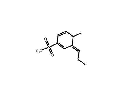 CSC=C1C=C(S(N)(=O)=O)C=CC1C